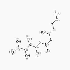 CCCCOCCC(O)CN(CC)CC(O)C(O)C(O)C(C)O